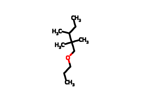 CCCOCC(C)(C)C(C)CC